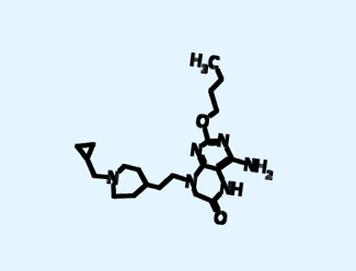 CCCCOc1nc(N)c2c(n1)N(CCC1CCN(CC3CC3)CC1)CC(=O)N2